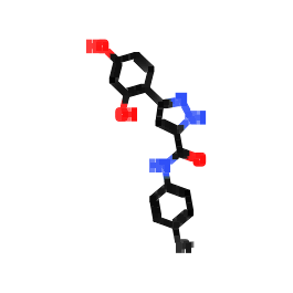 CC(C)c1ccc(NC(=O)c2cc(-c3ccc(O)cc3O)n[nH]2)cc1